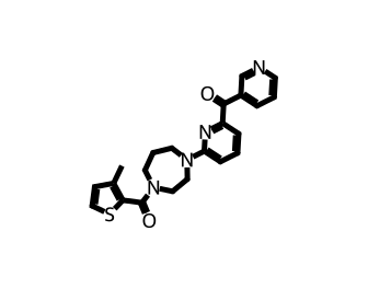 Cc1ccsc1C(=O)N1CCCN(c2cccc(C(=O)c3cccnc3)n2)CC1